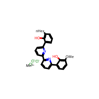 CCCCCCc1cccc(-c2cccc(-c3cccc(-c4cccc(OC)c4O)n3)n2)c1O.[Cl-].[Cl-].[Cl-].[Mn+3]